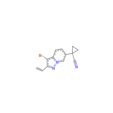 C=Cc1nn2cc(C3(C#N)CC3)ccc2c1Br